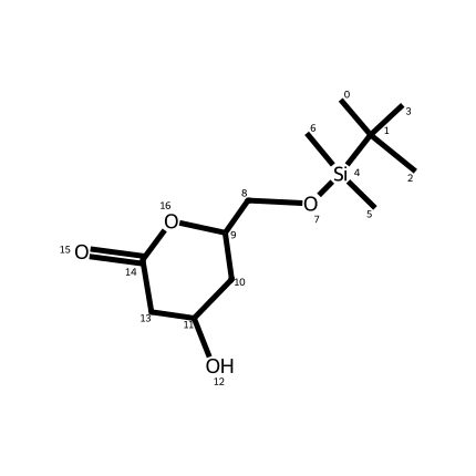 CC(C)(C)[Si](C)(C)OCC1CC(O)CC(=O)O1